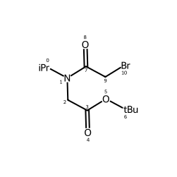 CC(C)N(CC(=O)OC(C)(C)C)C(=O)CBr